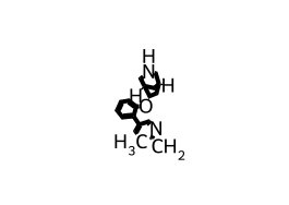 C=C/N=C\C(=C/C)c1ccccc1O[C@H]1C[C@@H]2CNC[C@H]1C2